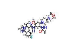 C=CC(=O)Nc1cc(Nc2cc(-n3ccnc3-c3ccc(F)cc3)ccn2)c(OC)cc1N1CCC(N2CCOCC2)CC1